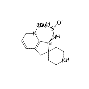 CC(C)(C)[S+]([O-])N[C@@H]1C2=C(C=CCN2C(=O)O)CC12CCNCC2